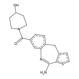 NC1=Nc2cc(C(=O)N3CCC(O)CC3)ccc2Cc2ccsc21